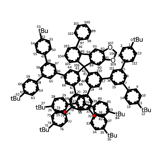 CC(C)(C)c1ccc(-c2cc(-c3ccc(C(C)(C)C)cc3)cc(-c3cc(-c4cc(-c5ccc(C(C)(C)C)cc5)cc(-c5ccc(C(C)(C)C)cc5)c4)cc(C4(c5cc(-c6cc(-c7ccc(C(C)(C)C)cc7)cc(-c7ccc(C(C)(C)C)cc7)c6)cc(-c6cc(-c7ccc(C(C)(C)C)cc7)cc(-c7ccc(C(C)(C)C)cc7)c6)c5)c5cc6c(cc5-c5c(-c7ccccc7)cccc54)OCO6)c3)c2)cc1